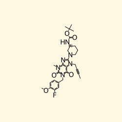 CC#CCn1c(N2CCC[C@@H](NC(=O)OC(C)(C)C)C2)nc2c1c(=O)n(Cc1ccc(OC)c(F)c1)c(=O)n2C